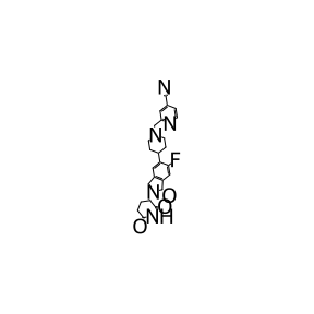 N#Cc1ccnc(CN2CCC(c3cc4c(cc3F)C(=O)N(C3CCC(=O)NC3=O)C4)CC2)c1